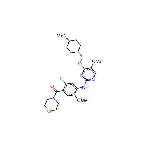 CN[C@H]1CC[C@H](COc2nc(Nc3cc(F)c(C(=O)N4CCOCC4)cc3OC)ncc2OC)CC1